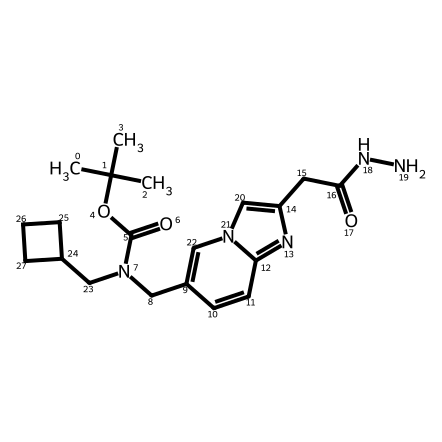 CC(C)(C)OC(=O)N(Cc1ccc2nc(CC(=O)NN)cn2c1)CC1CCC1